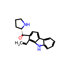 C=Cc1c(C(=O)[C@@H]2CCCN2)ccc2c1[nH]c1ccccc12